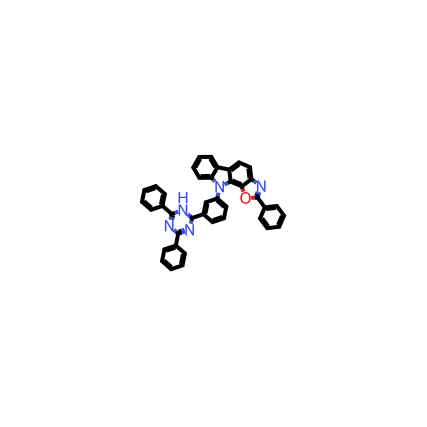 c1ccc(C2=NC(c3cccc(-n4c5ccccc5c5ccc6nc(-c7ccccc7)oc6c54)c3)NC(c3ccccc3)=N2)cc1